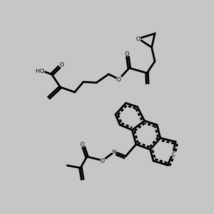 C=C(C)C(=O)ON=Cc1c2ccccc2cc2ccccc12.C=C(CCCCOC(=O)C(=C)CC1CO1)C(=O)O